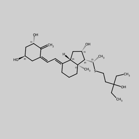 C=C1C(=CC=C2CCC[C@]3(C)[C@@H]([C@H](C)SCCC(O)(CC)CC)[C@@H](O)C[C@@H]23)C[C@@H](O)C[C@@H]1O